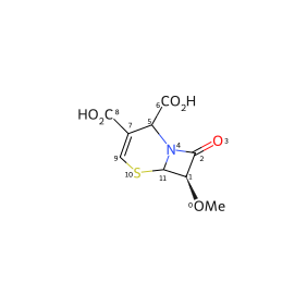 CO[C@@H]1C(=O)N2C(C(=O)O)C(C(=O)O)=CSC12